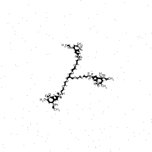 CCN[C@H]1C[C@H](C)S(=O)(=O)c2sc(S(=O)(=O)NCCOCCOCC(COCCOCCNS(=O)(=O)c3cc4c(s3)S(=O)(=O)[C@@H](C)C[C@@H]4NCC)COCCOCCNS(=O)(=O)c3cc4c(s3)S(=O)(=O)[C@@H](C)C[C@]4(C)NCC)cc21